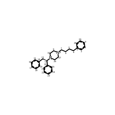 c1ccc(CCCCN2CCN([C@H](Cc3ccccc3)c3ccccc3)CC2)cc1